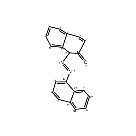 O=C1C=Cc2ccccc2C1N=Nc1cccc2ccccc12